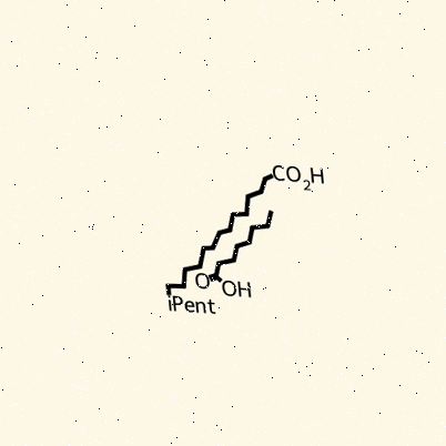 CCCC(C)CCCCCCCCCCCCCC(=O)O.CCCCCCCC(=O)O